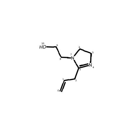 C=CCC1=NCCN1CCO